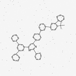 CC1(C)c2ccccc2-c2cc(-c3cccc(-c4ccc(-c5cc(-c6cc(-c7ccccc7)cc(-c7ccccc7)c6)nc(-c6ccccc6)n5)cc4)c3)ccc21